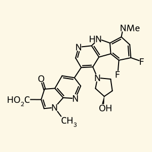 CNc1cc(F)c(F)c2c1[nH]c1ncc(-c3cnc4c(c3)c(=O)c(C(=O)O)cn4C)c(N3CC[C@@H](O)C3)c12